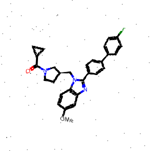 COc1ccc2c(c1)nc(-c1ccc(-c3ccc(F)cc3)cc1)n2C[C@H]1CCN(C(=O)C2CC2)C1